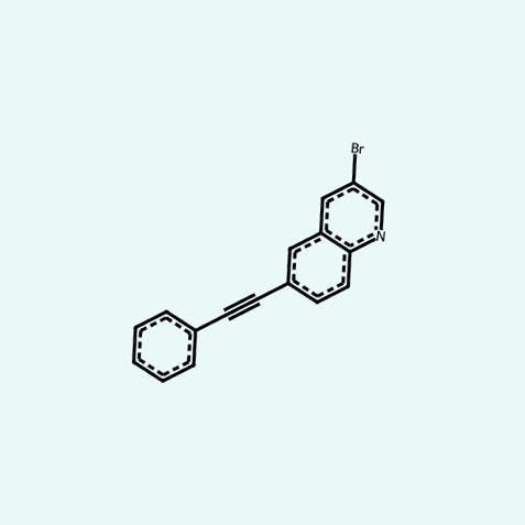 Brc1cnc2ccc(C#Cc3ccccc3)cc2c1